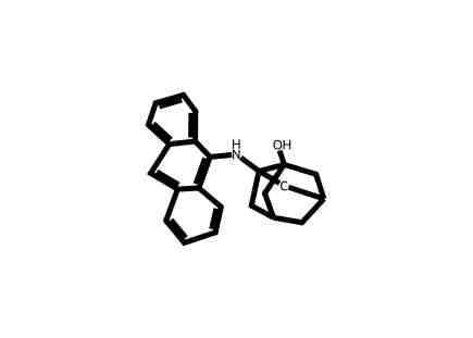 OC12CC3CC(C1)CC2(Nc1c2ccccc2cc2ccccc12)C3